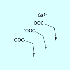 O=C([O-])CF.O=C([O-])CF.O=C([O-])CF.[Ga+3]